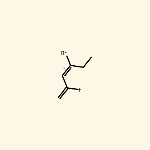 C=C(F)/C=C(/Br)CC